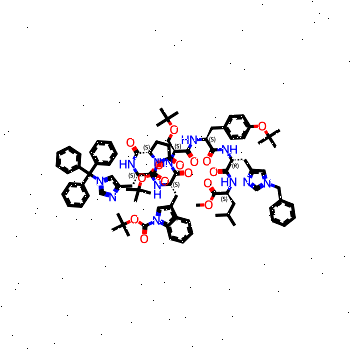 COC(=O)[C@H](CC(C)C)NC(=O)[C@@H](Cc1cn(Cc2ccccc2)cn1)NC(=O)[C@H](Cc1ccc(OC(C)(C)C)cc1)NC(=O)[C@H](COC(C)(C)C)NC(=O)[C@H](Cc1cn(C(=O)OC(C)(C)C)c2ccccc12)NC(=O)[C@H](Cc1cn(C(c2ccccc2)(c2ccccc2)c2ccccc2)cn1)NC(=O)[C@@H]1CCC(=O)N1C(=O)OC(C)(C)C